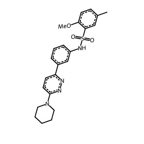 COc1ccc(C)cc1S(=O)(=O)Nc1cccc(-c2ccc(N3CCCCC3)nn2)c1